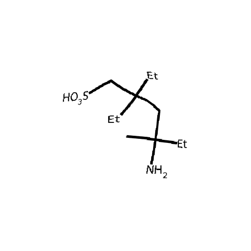 CCC(C)(N)CC(CC)(CC)CS(=O)(=O)O